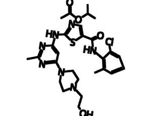 CC(=O)OC(C)C.Cc1nc(Nc2ncc(C(=O)Nc3c(C)cccc3Cl)s2)cc(N2CCN(CCO)CC2)n1